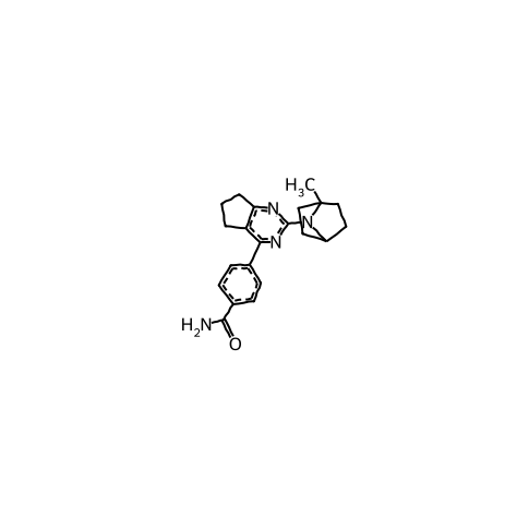 CC12CCC(CC1)N2c1nc2c(c(-c3ccc(C(N)=O)cc3)n1)CCC2